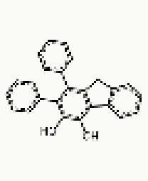 Oc1c(O)c(-c2ccccc2)c(-c2ccccc2)c2c1-c1ccccc1C2